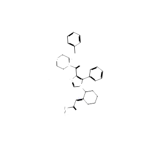 CCCNC(=O)/C=C1\CCCCC1n1cnc(C(=O)N2CCNC[C@@H]2Cc2ccccc2)c1-c1ccccc1.Cl